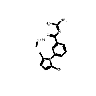 CS(=O)(=O)O.Cc1ccc(C#N)n1-c1cccc(C(=O)N=C(N)N)c1